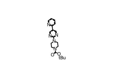 CC(C)(C)OC(=O)N1CCN(c2ncc(-c3ccccn3)cn2)CC1